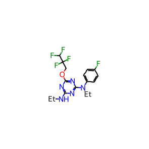 CCNc1nc(OCC(F)(F)C(F)F)nc(N(CC)c2ccc(F)cc2)n1